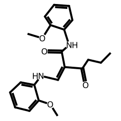 CCCC(=O)/C(=C/Nc1ccccc1OC)C(=O)Nc1ccccc1OC